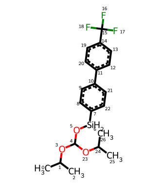 CC(C)OC(O[SiH2]c1ccc(-c2ccc(C(F)(F)F)cc2)cc1)OC(C)C